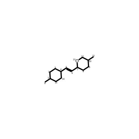 CC1CCC(C=CC2CCC(C)CO2)CC1